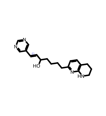 OC(/C=C/c1cncnc1)CCCCc1ccc2c(n1)NCCC2